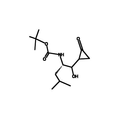 CC(C)C[C@H](NC(=O)OC(C)(C)C)C(O)C1CC1=O